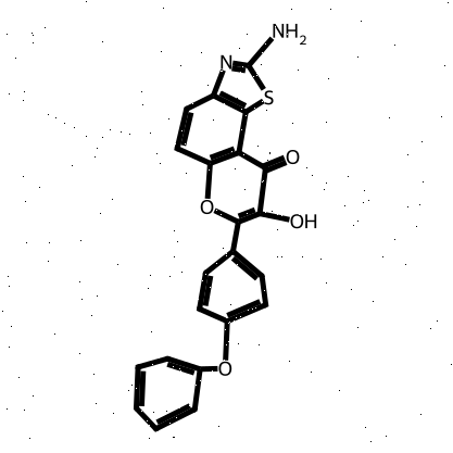 Nc1nc2ccc3oc(-c4ccc(Oc5ccccc5)cc4)c(O)c(=O)c3c2s1